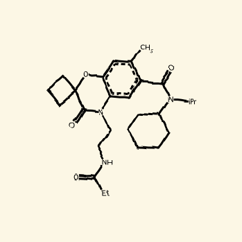 CCC(=O)NCCN1C(=O)C2(CCC2)Oc2cc(C)c(C(=O)N(C(C)C)C3CCCCC3)cc21